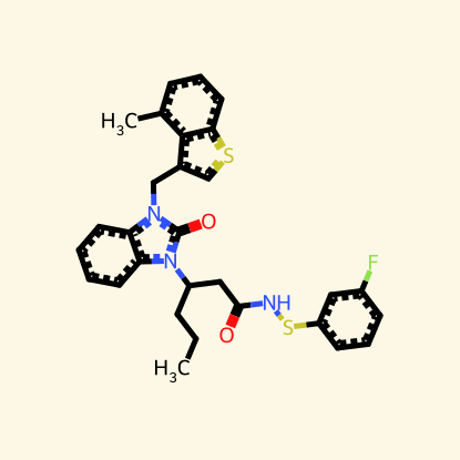 CCCC(CC(=O)NSc1cccc(F)c1)n1c(=O)n(Cc2csc3cccc(C)c23)c2ccccc21